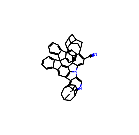 N#Cc1cc2c(c3c1C1CC4CC5CC3CC45C1)c1c3c(cc4c5c6c(ncc5n2c41)C1CC2CC(C1)CC6C2)-c1ccccc1C31c2ccccc2-c2ccccc21